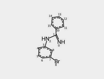 N=C(Nc1cccc(Br)c1)c1ccccc1